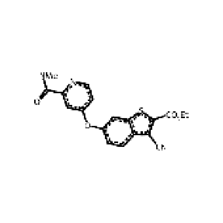 CCOC(=O)c1sc2cc(Oc3ccnc(C(=O)NC)c3)ccc2c1C#N